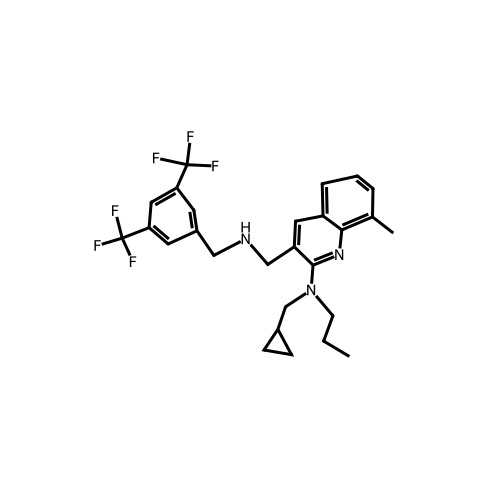 CCCN(CC1CC1)c1nc2c(C)cccc2cc1CNCc1cc(C(F)(F)F)cc(C(F)(F)F)c1